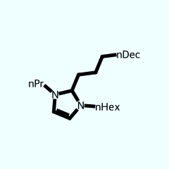 CCCCCCCCCCCCCC1N(CCC)C=CN1CCCCCC